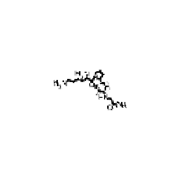 C[C@H](NC(=O)[C@@H]1CCCN1C(=O)[C@@H](N)CCCCN)C(=O)NCC(=O)O